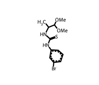 COC(OC)C(C)NC(=S)Nc1cccc(Br)c1